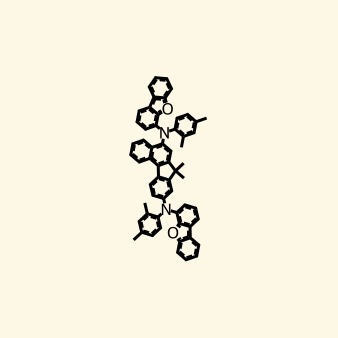 Cc1ccc(N(c2ccc3c(c2)C(C)(C)c2cc(N(c4ccc(C)cc4C)c4cccc5c4oc4ccccc45)c4ccccc4c2-3)c2cccc3c2oc2ccccc23)c(C)c1